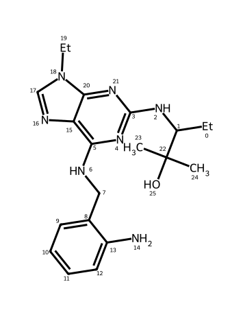 CCC(Nc1nc(NCc2ccccc2N)c2ncn(CC)c2n1)C(C)(C)O